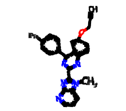 C#CCOc1ccc2nc(-c3nc4ncccc4n3C)nc(-c3ccc(C(C)C)cc3)c2c1